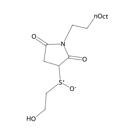 CCCCCCCCCCN1C(=O)CC([S+]([O-])CCO)C1=O